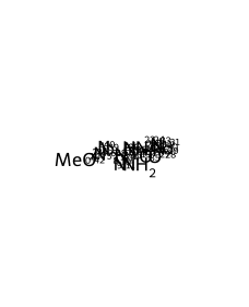 COC1CN(c2cc(-c3cnc(N)c(-c4ccc(NC(=O)c5c(C)n(C)n(-c6cccc(C)c6C)c5=O)cn4)n3)ccn2)C1